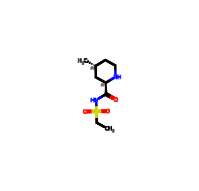 CCS(=O)(=O)NC(=O)[C@H]1C[C@H](C)CCN1